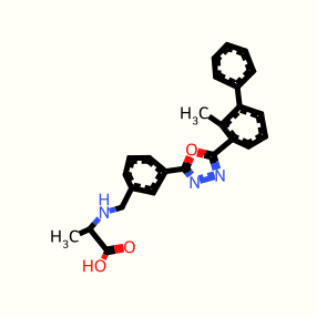 Cc1c(-c2ccccc2)cccc1-c1nnc(-c2cccc(CNC(C)C(=O)O)c2)o1